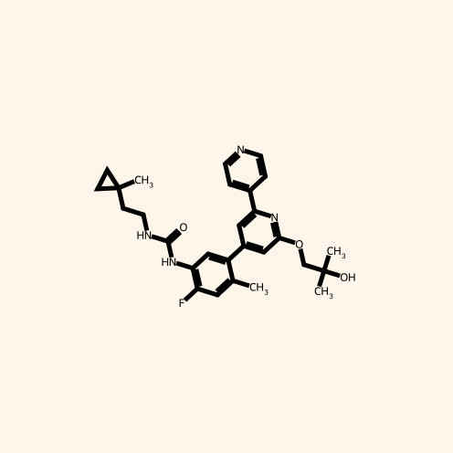 Cc1cc(F)c(NC(=O)NCCC2(C)CC2)cc1-c1cc(OCC(C)(C)O)nc(-c2ccncc2)c1